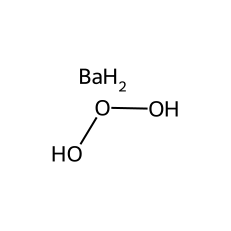 OOO.[BaH2]